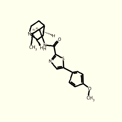 COc1ccc(-c2cnc(C(=O)N[C@@H]3C4CCN(CC4)[C@H]3C)s2)cc1